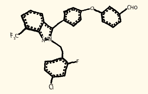 O=Cc1cccc(Oc2ccc(-c3c4cccc(C(F)(F)F)c4nn3Cc3ccc(Cl)cc3F)cc2)c1